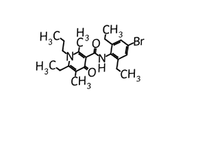 CCCn1c(C)c(C(=O)Nc2c(CC)cc(Br)cc2CC)c(=O)c(C)c1CC